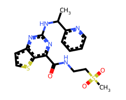 CC(Nc1nc(C(=O)NCCS(C)(=O)=O)c2sccc2n1)c1ccccn1